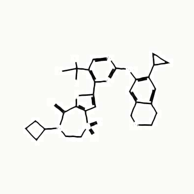 O=C1c2sc(-c3nc(Nc4cc5c(cc4C4CC4)CCNC5)ncc3C(F)(F)F)cc2S(=O)(=O)CCN1C1CCC1